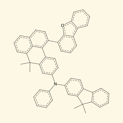 CC1(C)c2ccccc2-c2ccc(N(c3ccccc3)c3ccc4c(c3)C(C)(C)c3cccc5ccc(-c6cccc7c6oc6ccccc67)c-4c35)cc21